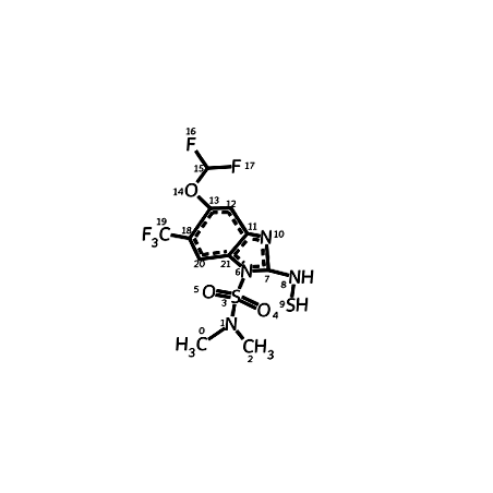 CN(C)S(=O)(=O)n1c(NS)nc2cc(OC(F)F)c(C(F)(F)F)cc21